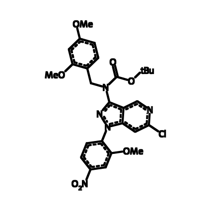 COc1ccc(CN(C(=O)OC(C)(C)C)c2nn(-c3ccc([N+](=O)[O-])cc3OC)c3cc(Cl)ncc23)c(OC)c1